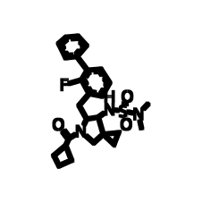 CN(C)S(=O)(=O)NC1C(Cc2cccc(-c3ccccc3)c2F)N(C(=O)C2CCC2)CC12CC2